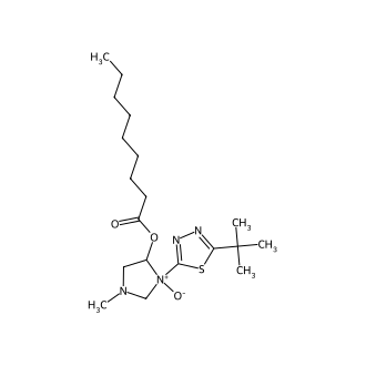 CCCCCCCCC(=O)OC1CN(C)C[N+]1([O-])c1nnc(C(C)(C)C)s1